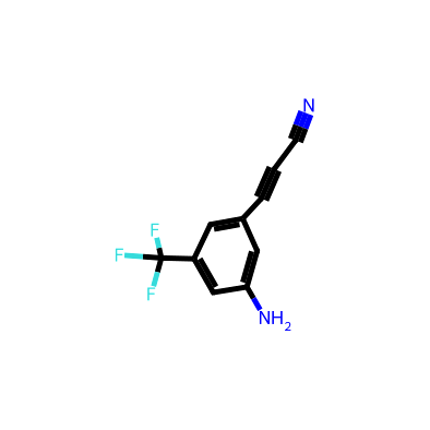 N#CC#Cc1cc(N)cc(C(F)(F)F)c1